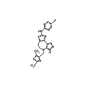 Cc1nc(CN2CCc3sc(Nc4ncc(F)cn4)nc3-c3cn[nH]c32)c(C)s1